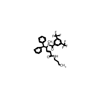 CCCCNC(=O)C=CC(C(c1ccccc1)c1ccccc1)N(C)C(=O)c1cc(C(F)(F)F)cc(C(F)(F)F)c1